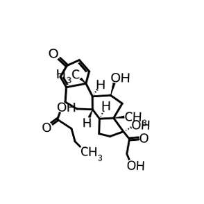 CCCC(=O)O.C[C@]12C=CC(=O)C=C1CC[C@@H]1[C@@H]2[C@@H](O)C[C@@]2(C)[C@H]1CC[C@]2(O)C(=O)CO